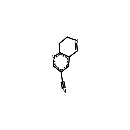 N#Cc1cnc2c(c1)C=NCC2